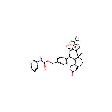 C[C@]12C[C@H](c3ccc(COC(=O)Nc4ccccc4)cc3)C3=C4CCC(=O)C=C4CC[C@H]3[C@@H]1CC[C@@]2(O)C(F)(F)C(F)(F)F